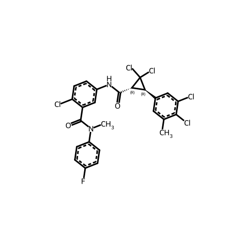 Cc1cc([C@H]2[C@H](C(=O)Nc3ccc(Cl)c(C(=O)N(C)c4ccc(F)cc4)c3)C2(Cl)Cl)cc(Cl)c1Cl